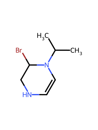 CC(C)N1C=CNCC1Br